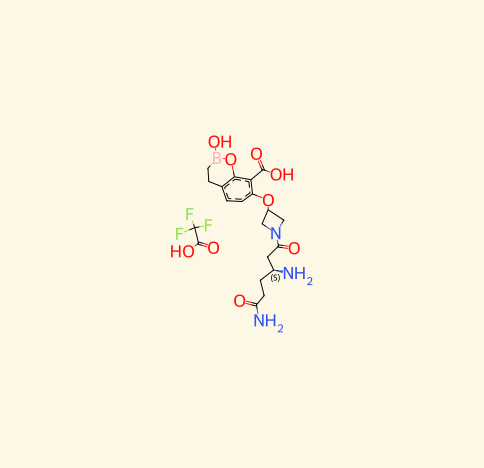 NC(=O)CC[C@H](N)CC(=O)N1CC(Oc2ccc3c(c2C(=O)O)OB(O)CC3)C1.O=C(O)C(F)(F)F